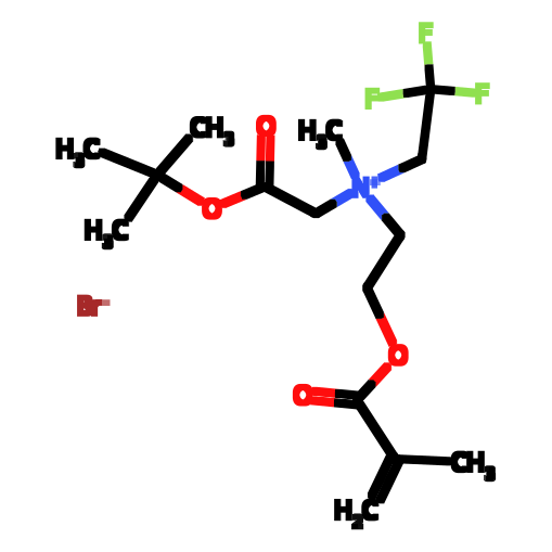 C=C(C)C(=O)OCC[N+](C)(CC(=O)OC(C)(C)C)CC(F)(F)F.[Br-]